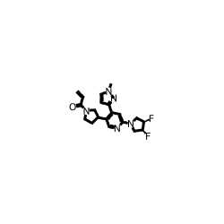 C=CC(=O)N1CCC(c2cnc(N3C[C@@H](F)[C@@H](F)C3)cc2-c2ccn(C)n2)C1